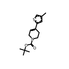 Cc1csc(C2=CCN(C(=O)OC(C)(C)C)CC2)c1